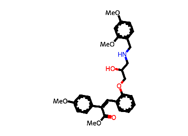 COC(=O)C(=Cc1ccccc1OCC(O)CNCc1ccc(OC)cc1OC)c1ccc(OC)cc1